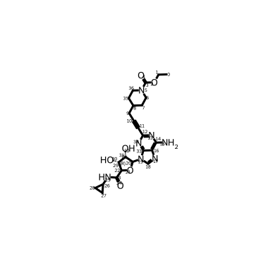 CCOC(=O)N1CCC(CC#Cc2nc(N)c3ncn(C4OC(C(=O)NC5CC5)[C@H](O)[C@@H]4O)c3n2)CC1